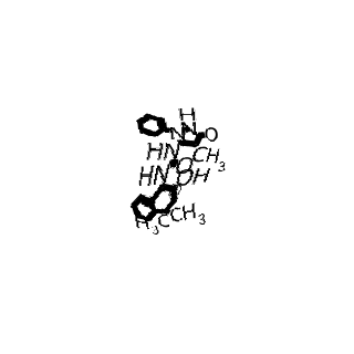 Cc1c(NC(=O)NC2c3ccccc3C(C)(C)C[C@H]2O)n(-c2ccccc2)[nH]c1=O